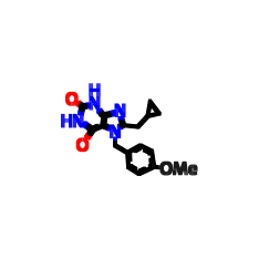 COc1ccc(Cn2c(CC3CC3)nc3[nH]c(=O)[nH]c(=O)c32)cc1